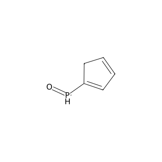 O=[PH]C1=CC=CC1